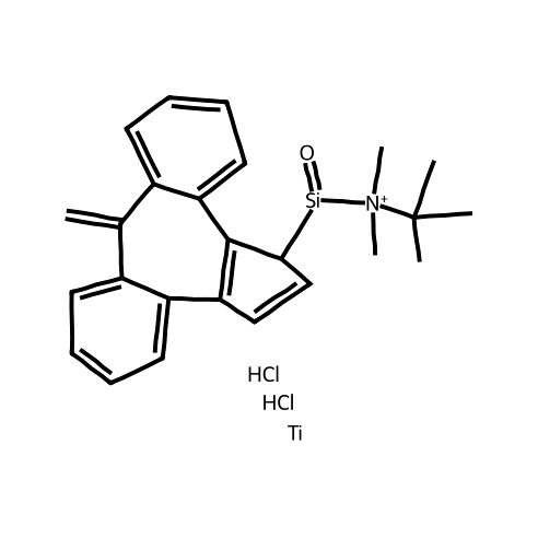 C=C1c2ccccc2C2=C(c3ccccc31)C([Si](=O)[N+](C)(C)C(C)(C)C)C=C2.Cl.Cl.[Ti]